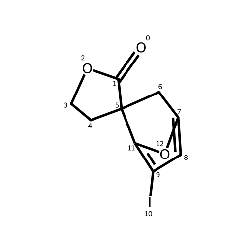 O=C1OCCC12Cc1cc(I)c2o1